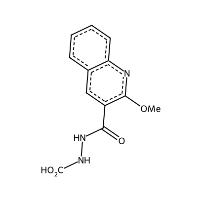 COc1nc2ccccc2cc1C(=O)NNC(=O)O